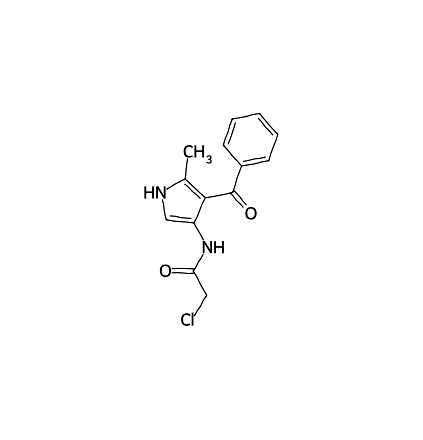 Cc1[nH]cc(NC(=O)CCl)c1C(=O)c1ccccc1